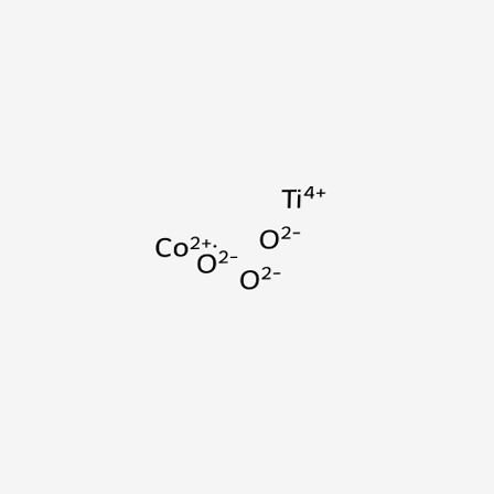 [Co+2].[O-2].[O-2].[O-2].[Ti+4]